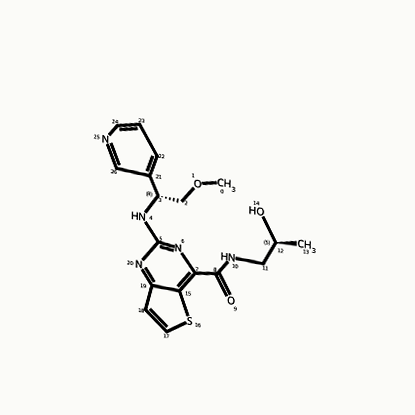 COC[C@H](Nc1nc(C(=O)NC[C@H](C)O)c2sccc2n1)c1cccnc1